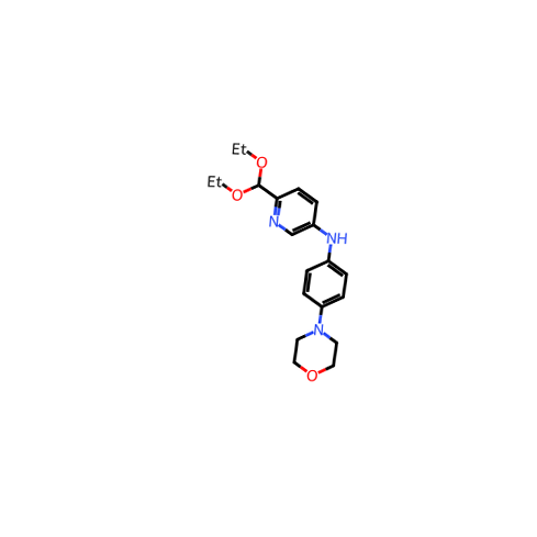 CCOC(OCC)c1ccc(Nc2ccc(N3CCOCC3)cc2)cn1